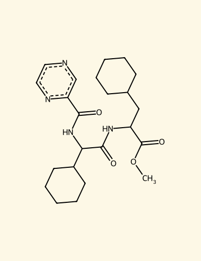 COC(=O)C(CC1CCCCC1)NC(=O)C(NC(=O)c1cnccn1)C1CCCCC1